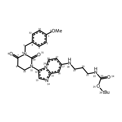 COc1ccc(CN2C(=O)CCN(c3cnc4cc(NCCCNC(=O)OC(C)(C)C)ccn34)C2=O)cc1